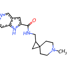 CN1CCC2(CC1)CC2CNC(=O)c1cc2cnccc2[nH]1